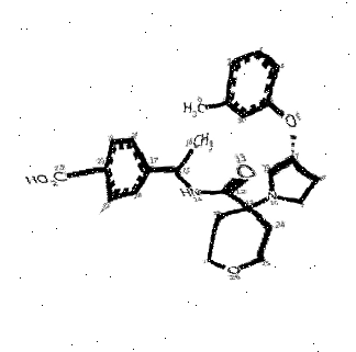 Cc1cccc(O[C@@H]2CCN(C3(C(=O)NC(C)c4ccc(C(=O)O)cc4)CCOCC3)C2)c1